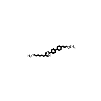 CCCCCCCc1cnc(-c2ccc(C3CCC(C=CCOC)CC3)cc2)nc1